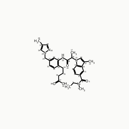 CCN(C)C(=O)c1ccc2c(c1)c(C)cn2C(C)C(=O)Nc1cc(Cn2cc(C)cn2)ccc1CCCC(=O)O